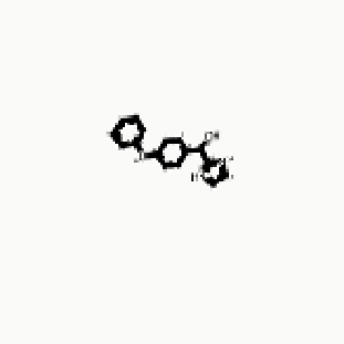 OC(c1ccc(Oc2ccccc2)cc1)c1ncc[nH]1